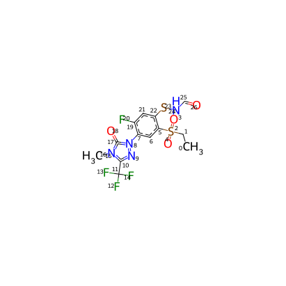 CCS(=O)(=O)c1cc(-n2nc(C(F)(F)F)n(C)c2=O)c(F)cc1SNC=O